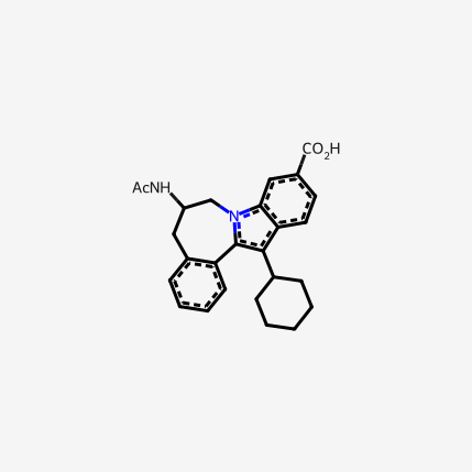 CC(=O)NC1Cc2ccccc2-c2c(C3CCCCC3)c3ccc(C(=O)O)cc3n2C1